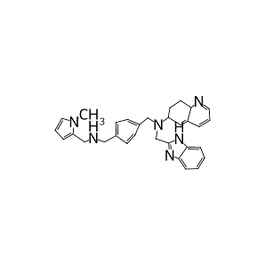 Cn1cccc1CNCc1ccc(CN(Cc2nc3ccccc3[nH]2)C2C=C3C=CC=NC3CC2)cc1